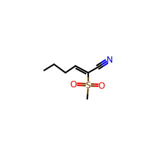 CCCC=C(C#N)S(C)(=O)=O